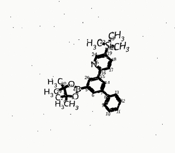 CC1(C)OB(c2cc(-c3ccccc3)cc(-c3ccc([Si](C)(C)C)cn3)c2)OC1(C)C